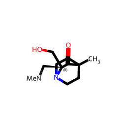 CNC[C@@]1(CO)C(=O)C2(C)CCN1CC2